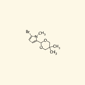 Cn1c(Br)ccc1C1OCC(C)(C)CO1